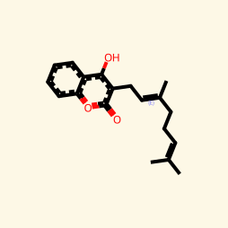 CC(C)=CCC/C(C)=C/Cc1c(O)c2ccccc2oc1=O